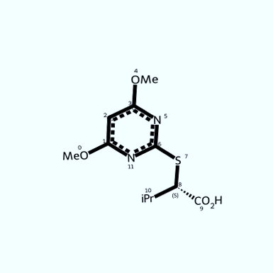 COc1cc(OC)nc(S[C@H](C(=O)O)C(C)C)n1